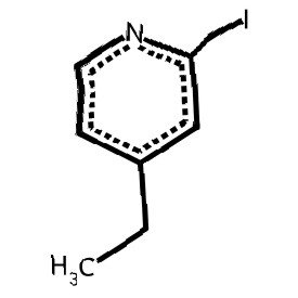 CCc1ccnc(I)c1